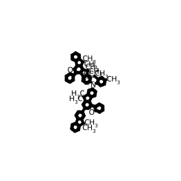 Cc1ccc(N(c2ccc3c(c2)C(C)(C)c2cc(-c4ccc5c(c4)C(C)(C)c4ccccc4-5)c4oc5ccccc5c4c2-3)c2ccc3c(c2)C(C)(C)c2c4c(c5oc6ccccc6c5c2-3)-c2ccccc2C4(C)C)c(C(C)(C)C)c1